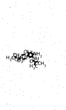 CCC(CC)C(=O)Nc1cc(N2CCN(C(=O)OC(C)(C)C)CC2)c(Cl)cc1N